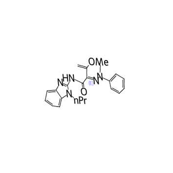 C=C(OC)/C(=N\N(C)c1ccccc1)C(=O)Nc1nc2ccccc2n1CCC